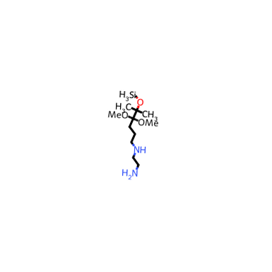 COC(CCCNCCN)(OC)C(C)(C)O[SiH3]